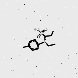 CCC(N(CC)c1ccc(C)cc1)S(=O)(=O)O